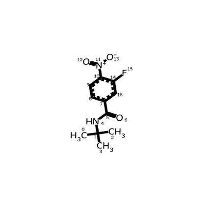 CC(C)(C)NC(=O)c1ccc([N+](=O)[O-])c(F)c1